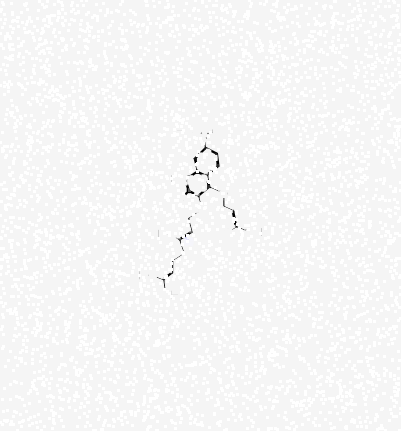 CC(C)=CCC/C(C)=C/COc1c(OCC=C(C)C)c2ccc(N(C)C)cc2[nH]c1=O